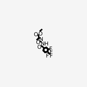 CCOC(=O)c1coc(NC(=O)c2ccc(C(F)(F)F)c(F)c2)n1